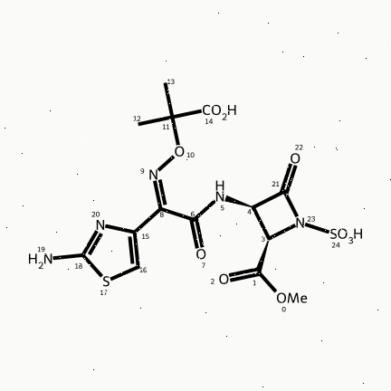 COC(=O)[C@H]1[C@@H](NC(=O)/C(=N\OC(C)(C)C(=O)O)c2csc(N)n2)C(=O)N1S(=O)(=O)O